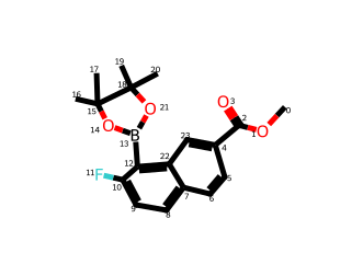 COC(=O)c1ccc2ccc(F)c(B3OC(C)(C)C(C)(C)O3)c2c1